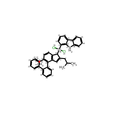 CC(C)CC1=Cc2c(ccc(C(C)C)c2-c2ccccc2-c2ccccc2)[CH]1[Zr]([Cl])([Cl])[c]1cccc2c1[SiH2]c1ccccc1-2